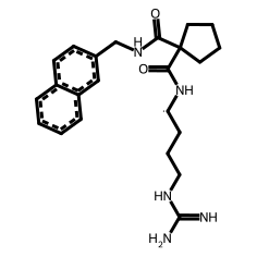 N=C(N)NCCC[CH]NC(=O)C1(C(=O)NCc2ccc3ccccc3c2)CCCC1